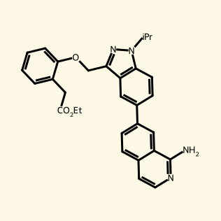 CCOC(=O)Cc1ccccc1OCc1nn(C(C)C)c2ccc(-c3ccc4ccnc(N)c4c3)cc12